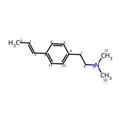 CC=Cc1ccc(CCN(C)C)cc1